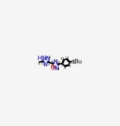 Cc1nc(-c2nc(-c3ccc(C(C)(C)C)cc3)no2)n[nH]1